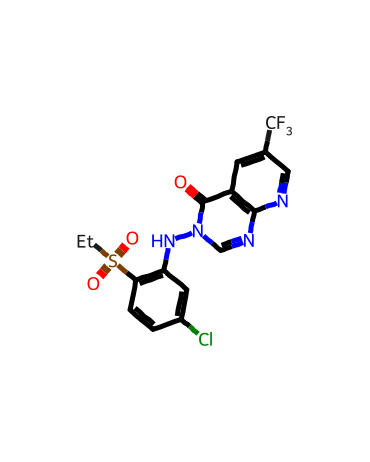 CCS(=O)(=O)c1ccc(Cl)cc1Nn1cnc2ncc(C(F)(F)F)cc2c1=O